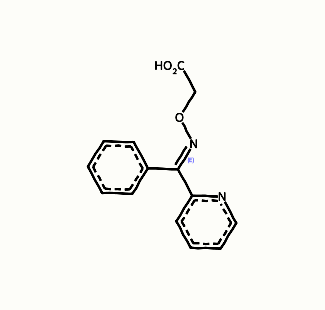 O=C(O)CO/N=C(\c1ccccc1)c1ccccn1